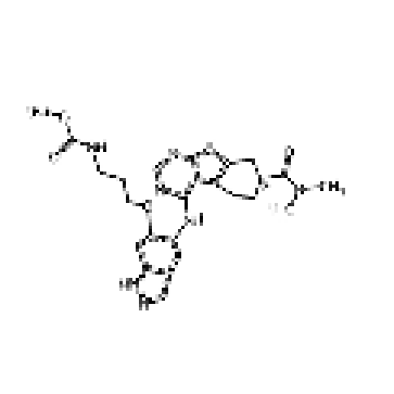 CN(C)C(=O)[C@H]1CCc2c(sc3ncnc(Nc4cc5cn[nH]c5cc4OCCCNC(=O)OC(C)(C)C)c23)C1